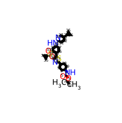 CC(C)OC(=O)NC1CCC(c2ncc(-c3ccc(Nc4ccc(C5CC5)cn4)cc3S(=O)(=O)C3CC3)s2)CC1